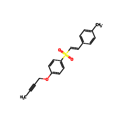 [CH2]c1ccc(C=CS(=O)(=O)c2ccc(OCC#CC)cc2)cc1